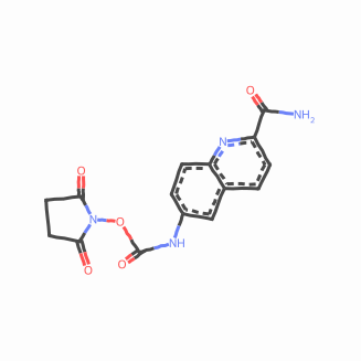 NC(=O)c1ccc2cc(NC(=O)ON3C(=O)CCC3=O)ccc2n1